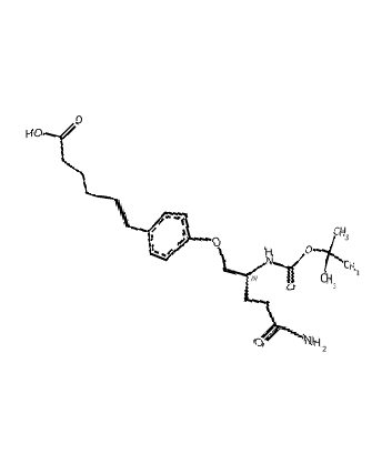 CC(C)(C)OC(=O)N[C@@H](CCC(N)=O)COc1ccc(CCCCCC(=O)O)cc1